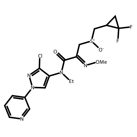 CCN(C(=O)C(C[S+]([O-])CC1CC1(F)F)=NOC)c1cn(-c2cccnc2)nc1Cl